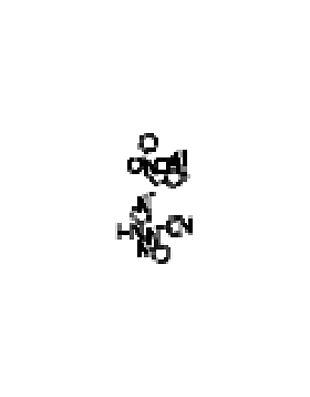 CN(CC(CCN1CCC(Nc2nc3ccccc3n2Cc2ccncc2)CC1)c1cccc(Cl)c1)C(=O)c1ccccc1